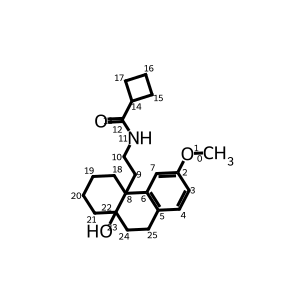 COc1ccc2c(c1)C1(CCNC(=O)C3CCC3)CCCCC1(O)CC2